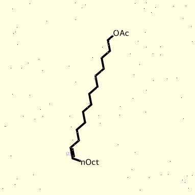 CCCCCCCC/C=C\CCCCCCCCCCCCOC(C)=O